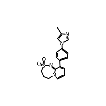 Cc1cn(-c2ccc(C3=CC=CN4CCCS(=O)(=O)N=C34)cc2)cn1